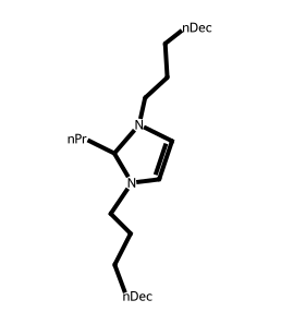 CCCCCCCCCCCCCN1C=CN(CCCCCCCCCCCCC)C1CCC